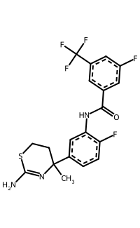 CC1(c2ccc(F)c(NC(=O)c3cc(F)cc(C(F)(F)F)c3)c2)CCSC(N)=N1